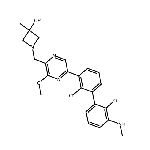 CNc1cccc(-c2cccc(-c3cnc(CN4CC(C)(O)C4)c(OC)n3)c2Cl)c1Cl